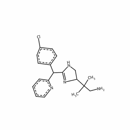 CC(C)(CN)C1CNC(C(c2ccc(Cl)cc2)c2ccccn2)=N1